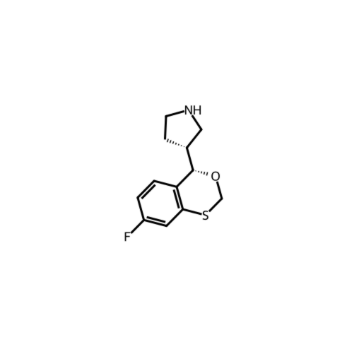 Fc1ccc2c(c1)SCO[C@H]2[C@@H]1CCNC1